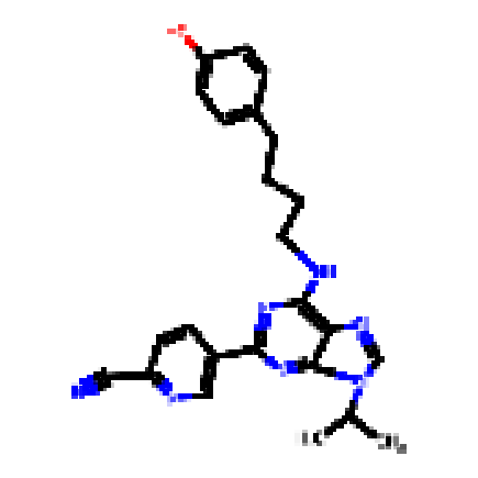 CC(C)n1cnc2c(NCCCCc3ccc(O)cc3)nc(-c3ccc(C#N)nc3)nc21